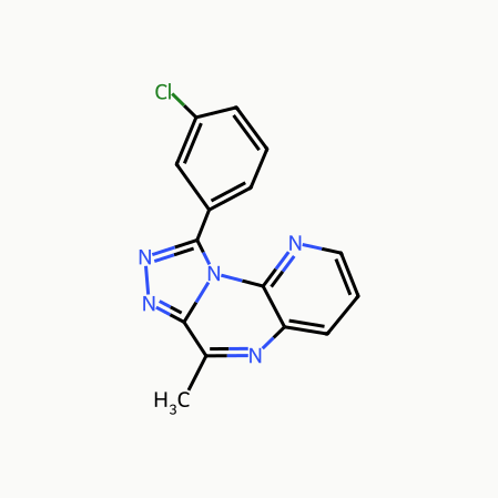 Cc1nc2cccnc2n2c(-c3cccc(Cl)c3)nnc12